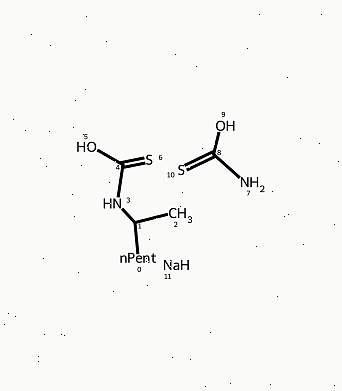 CCCCCC(C)NC(O)=S.NC(O)=S.[NaH]